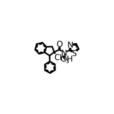 CC1(C(=O)N(O)c2nccs2)Cc2ccccc2C1c1ccccc1